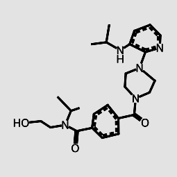 CC(C)Nc1cccnc1N1CCN(C(=O)c2ccc(C(=O)N(CCO)C(C)C)cc2)CC1